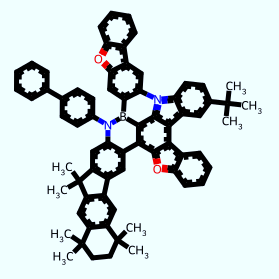 CC(C)(C)c1ccc2c(c1)c1c3c(oc4ccccc43)c3c4c1n2-c1cc2c(cc1B4N(c1ccc(-c4ccccc4)cc1)c1cc4c(cc1-3)-c1cc3c(cc1C4(C)C)C(C)(C)CCC3(C)C)oc1ccccc12